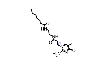 CCCCCCC(=O)NCCNC(=O)/C=C/n1cc(C)c(=O)nc1N